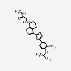 CNC(=O)CN[C@H]1CCCC2=C1CCC=C2c1nnc(-c2ccc(OC(C)C)c(N)c2)s1